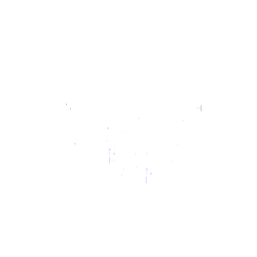 COC(=O)c1ccc2c(c1)/C(=C(/Nc1ccc(CN3CCCCC3)cc1)C1CC1)C(=O)N2